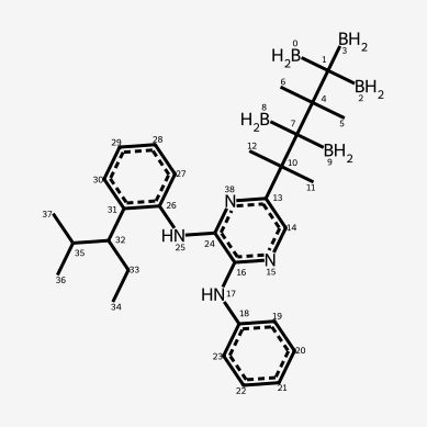 BC(B)(B)C(C)(C)C(B)(B)C(C)(C)c1cnc(Nc2ccccc2)c(Nc2ccccc2C(CC)C(C)C)n1